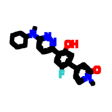 CN(c1ccc(-c2cc(F)c(-c3ccn(C)c(=O)c3)cc2O)nn1)C1CCCCC1